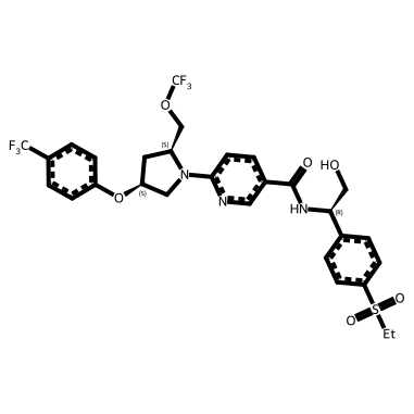 CCS(=O)(=O)c1ccc([C@H](CO)NC(=O)c2ccc(N3C[C@@H](Oc4ccc(C(F)(F)F)cc4)C[C@H]3COC(F)(F)F)nc2)cc1